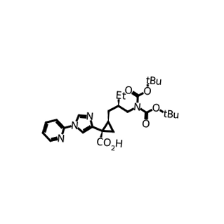 CC[C@H](C[C@H]1C[C@]1(C(=O)O)c1cn(-c2ccccn2)cn1)CN(C(=O)OC(C)(C)C)C(=O)OC(C)(C)C